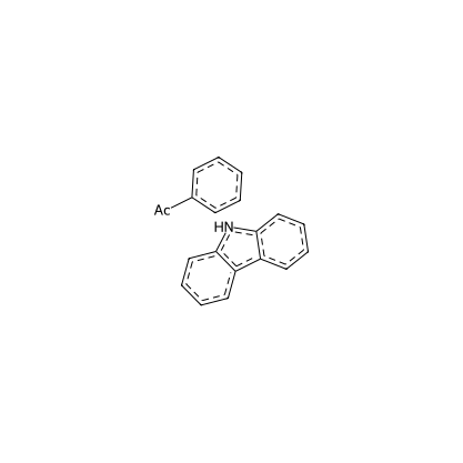 CC(=O)c1ccccc1.c1ccc2c(c1)[nH]c1ccccc12